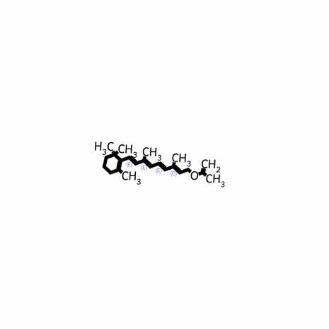 C=C(C)OC/C=C(C)/C=C/C=C(C)/C=C/C1=C(C)CCCC1(C)C